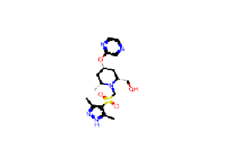 Cc1n[nH]c(C)c1S(=O)(=O)CN1[C@@H](CO)C[C@@H](Oc2cnccn2)C[C@H]1C